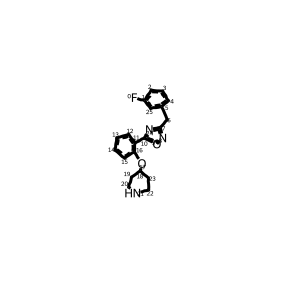 Fc1cccc(Cc2noc(-c3ccccc3OC3CCNCC3)n2)c1